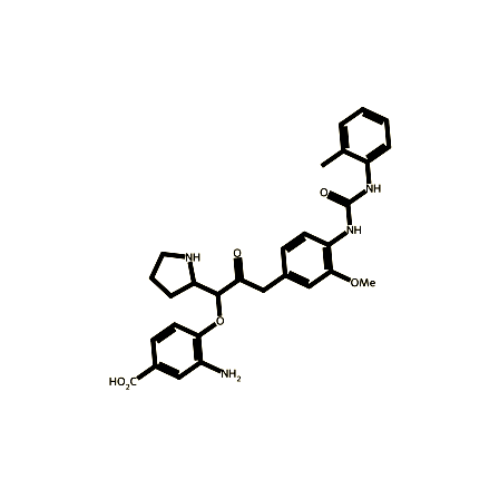 COc1cc(CC(=O)C(Oc2ccc(C(=O)O)cc2N)C2CCCN2)ccc1NC(=O)Nc1ccccc1C